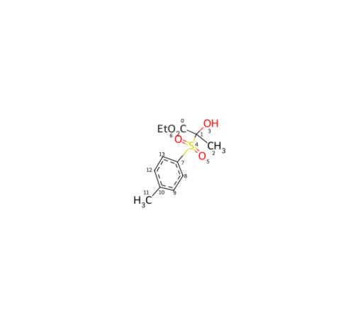 CCOC(=O)C(C)(O)S(=O)(=O)c1ccc(C)cc1